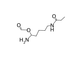 CCC(=O)NCCCCC(N)OC=O